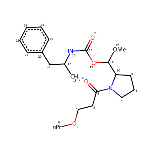 CCCOCCC(=O)N1CCCC1C(OC)OC(=O)NC(C)Cc1ccccc1